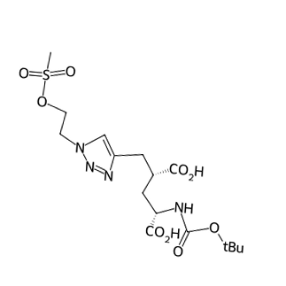 CC(C)(C)OC(=O)N[C@@H](C[C@H](Cc1cn(CCOS(C)(=O)=O)nn1)C(=O)O)C(=O)O